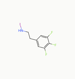 Fc1cc(CCNI)cc(F)c1F